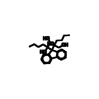 CCCCC(O)(CO)C1(C(O)(CO)CCCC)c2ccccc2-c2ccccc21